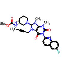 CC#CCN1c2c(n(C)c(=O)n(-c3ccc4cc(F)ccc4n3)c2=O)N(C)C1N1CCC[C@@H](NC(=O)OC(C)(C)C)C1